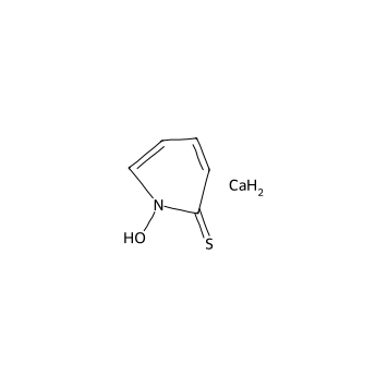 On1ccccc1=S.[CaH2]